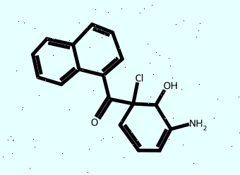 NC1=CC=CC(Cl)(C(=O)c2cccc3ccccc23)C1O